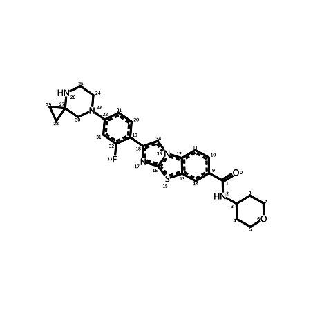 O=C(NC1CCOCC1)c1ccc2c(c1)sc1nc(-c3ccc(N4CCNC5(CC5)C4)cc3F)cn12